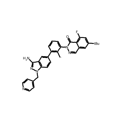 [CH2]c1c(-c2ccc3c(c2)c(N)nn3Cc2ccncc2)cccc1-n1ncc2cc(C(C)(C)C)cc(F)c2c1=O